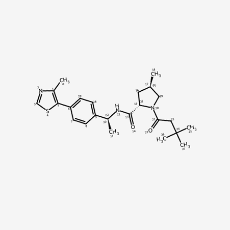 Cc1ncsc1-c1ccc([C@H](C)NC(=O)[C@@H]2C[C@@H](C)CN2C(=O)CC(C)(C)C)cc1